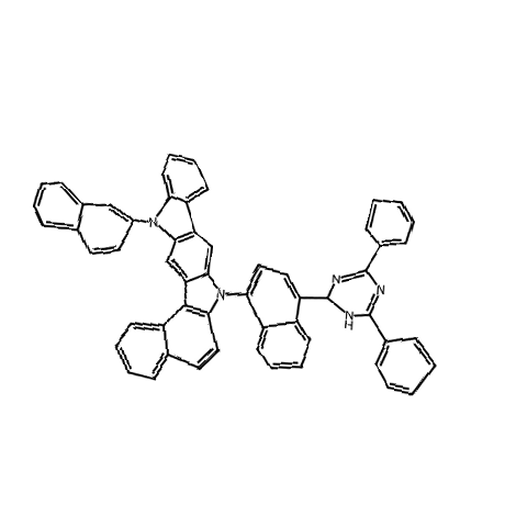 c1ccc(C2=NC(c3ccc(-n4c5cc6c7ccccc7n(-c7ccc8ccccc8c7)c6cc5c5c6ccccc6ccc54)c4ccccc34)NC(c3ccccc3)=N2)cc1